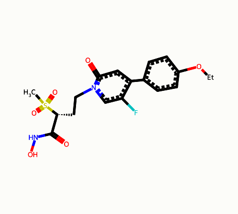 CCOc1ccc(-c2cc(=O)n(CC[C@H](C(=O)NO)S(C)(=O)=O)cc2F)cc1